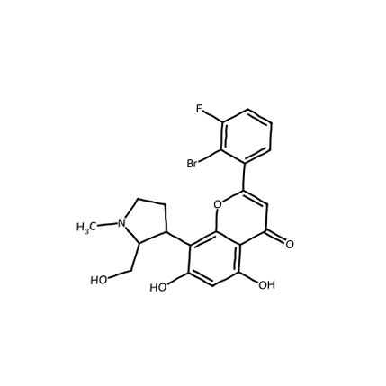 CN1CCC(c2c(O)cc(O)c3c(=O)cc(-c4cccc(F)c4Br)oc23)C1CO